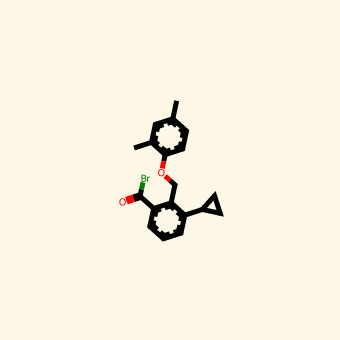 Cc1ccc(OCc2c(C(=O)Br)cccc2C2CC2)c(C)c1